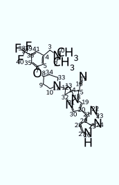 CN(C)Cc1cc(OC2CCN(C3CC(CC#N)(n4cc(-c5ncnc6[nH]ccc56)cn4)C3)CC2)cc(C(F)(F)F)c1